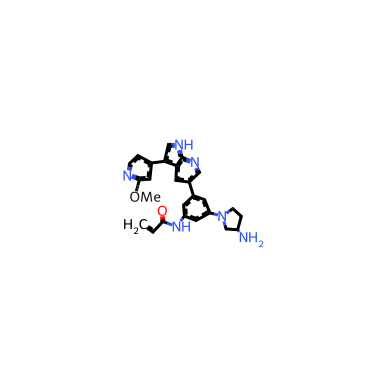 C=CC(=O)Nc1cc(-c2cnc3[nH]cc(-c4ccnc(OC)c4)c3c2)cc(N2CCC(N)C2)c1